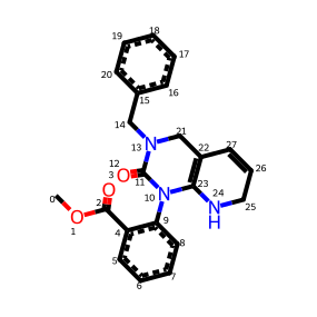 COC(=O)c1ccccc1N1C(=O)N(Cc2ccccc2)CC2=C1NCC=C2